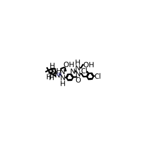 C[C@@H]1[C@@H](/N=C(/Nc2ccc3c(=O)n(CCc4ccc(Cl)cc4Cl)c(NCCO)nc3c2)N2CC(O)C2)C[C@@H]2C[C@H]1C2(C)C